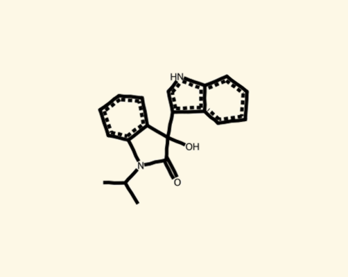 CC(C)N1C(=O)C(O)(c2c[nH]c3ccccc23)c2ccccc21